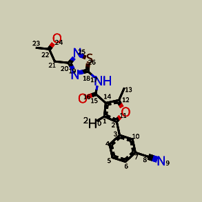 [2H]c1c(-c2cccc(C#N)c2)oc(C)c1C(=O)Nc1nc(CC(C)=O)ns1